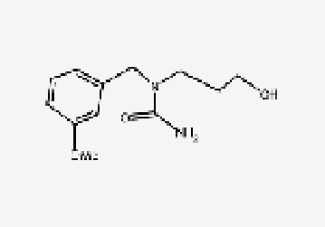 COc1cccc(CN(CCCO)C(N)=O)c1